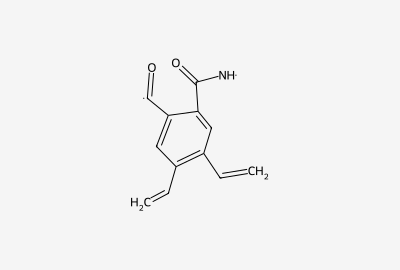 C=Cc1cc([C]=O)c(C([NH])=O)cc1C=C